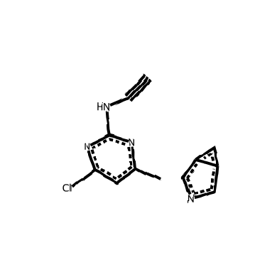 C#CNc1nc(C)cc(Cl)n1.c1ncc2cc1-2